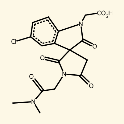 CN(C)C(=O)CN1C(=O)CC2(C1=O)C(=O)N(CC(=O)O)c1ccc(Cl)cc12